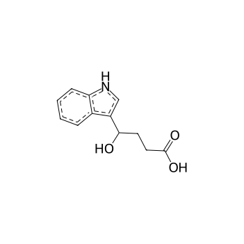 O=C(O)CCC(O)c1c[nH]c2ccccc12